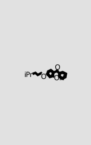 CC(C)CCCOc1ccc(C(=O)c2ccccc2)c(O)c1